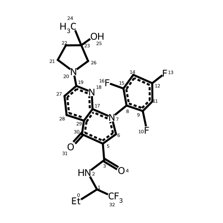 CCC(NC(=O)c1cn(-c2c(F)cc(F)cc2F)c2nc(N3CCC(C)(O)C3)ccc2c1=O)C(F)(F)F